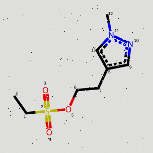 CCS(=O)(=O)OCCc1cnn(C)c1